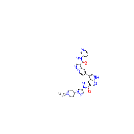 CN1CCC(n2cc(NC(=O)c3cnc4[nH]cc(-c5ccn6ncc(C(=O)Nc7cccnc7)c6c5)c4c3)cn2)CC1